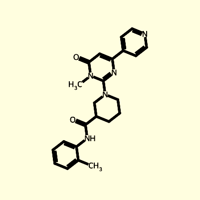 Cc1ccccc1NC(=O)C1CCCN(c2nc(-c3ccncc3)cc(=O)n2C)C1